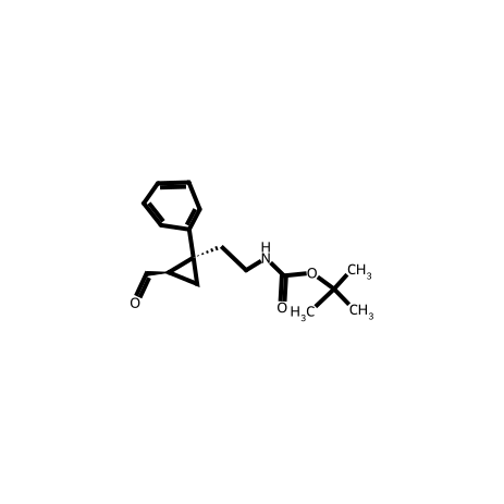 CC(C)(C)OC(=O)NCC[C@]1(c2ccccc2)C[C@H]1C=O